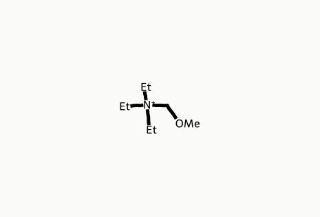 CC[N+](CC)(CC)COC